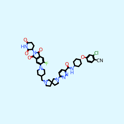 N#Cc1ccc(O[C@H]2CC[C@H](NC(=O)c3ccc(N4CCC5(CCN(CC6CCN(c7cc8c(cc7F)C(=O)N(C7CCC(=O)NC7=O)C8=O)CC6)C5)C4)nn3)CC2)cc1Cl